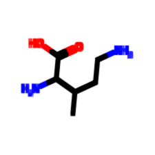 CC(CCN)C(N)C(=O)O